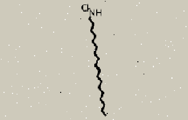 CCCCCCCCC=CCCCCCCCCNCl